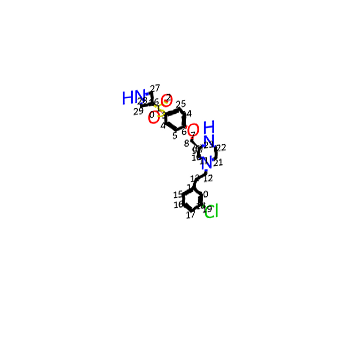 O=S(=O)(c1ccc(OC[C@@H]2CN(CCc3cccc(Cl)c3)CCN2)cc1)C1CNC1